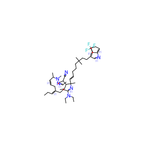 C/C=N\N(C)C(C)/C=C\C/C(=C\CC)CC/C(=N\C(C)(C=CCCCC(C)(C)CCC1=C\CC/C=C(CC(F)(F)F)/N=C\1)C(CC)C(C)C#N)N(CC)CC